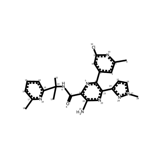 Cc1cc(-c2nc(C(=O)NC(C)(C)c3cccc(C)n3)c(N)nc2-c2ccn(C)n2)cc(Cl)n1